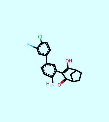 Cc1ccc(-c2ccc(Cl)c(F)c2)cc1C1=C(O)C2CCC(C2)C1=O